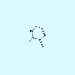 CN1NCC=NC1=O